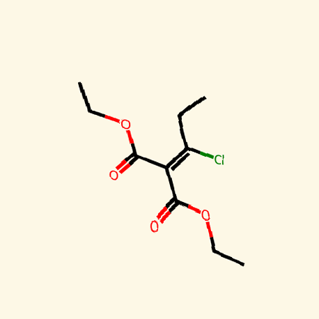 CCOC(=O)C(C(=O)OCC)=C(Cl)CC